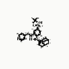 CC(C)(C)NS(=O)(=O)c1ccc(NC2C3CC4CC(C3)CC2C4)c(NCc2ccncc2)c1